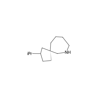 CC(C)C1CC[C@@]2(CCCCNC2)C1